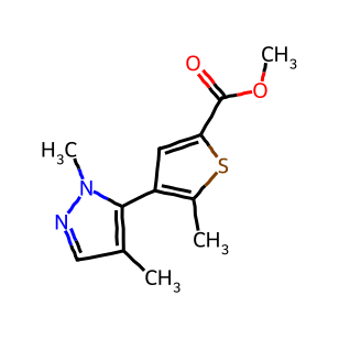 COC(=O)c1cc(-c2c(C)cnn2C)c(C)s1